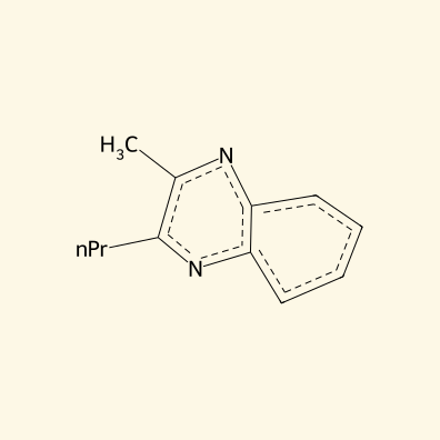 CCCc1nc2ccccc2nc1C